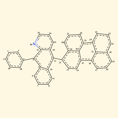 c1ccc(-c2c3ccccc3c(-c3ccc4c5cccc6cccc(c7cccc3c74)c65)c3cccnc23)cc1